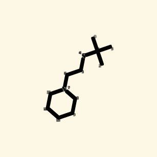 CC(C)(C)SCCN1CCCCC1